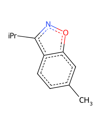 Cc1ccc2c(C(C)C)noc2c1